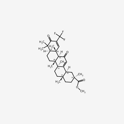 COC(=O)[C@@]1(C)CC[C@]2(C)CC[C@]3(C)C(=CC(=O)[C@@H]4[C@@]5(C)C=C(C(F)(F)F)C(=O)C(C)(C)[C@@H]5CC[C@]43C)[C@H]2C1